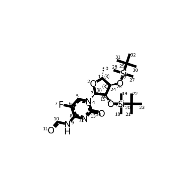 C[C@H]1O[C@@H](n2cc(F)c(NC=O)nc2=O)[C@H](O[Si](C)(C)C(C)(C)C)[C@@H]1O[Si](C)(C)C(C)(C)C